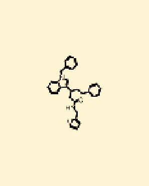 O=C(CC(CCc1ccccc1)c1cn(Cc2ccccc2)c2ccccc12)NCc1ccco1